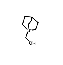 OC[N+]12CCC(CC1)CC2